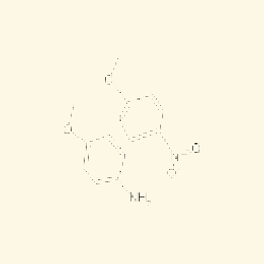 COc1ccc(N)cc1.COc1ccc([N+](=O)[O-])cc1